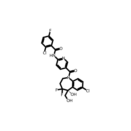 O=C(Nc1ccc(C(=O)N2CCC(F)(F)[C@](O)(CO)c3cc(Cl)ccc32)cn1)c1cc(F)ccc1Cl